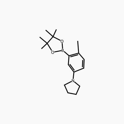 Cc1ccc(N2CCCC2)cc1B1OC(C)(C)C(C)(C)O1